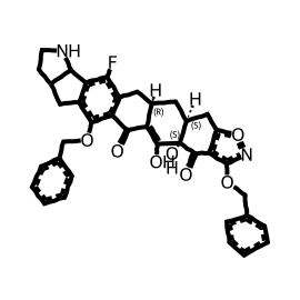 O=C1C2=C(O)[C@]3(O)C(=O)c4c(OCc5ccccc5)noc4C[C@@H]3C[C@@H]2Cc2c(F)c3c(c(OCc4ccccc4)c21)CC1CCNC31